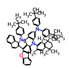 Cc1cc2c(cc1N1c3cc(N(c4ccc(C(C)(C)C)cc4)c4ccc(C(C)(C)C)cc4)ccc3B3c4c1cc1c(oc5ccccc51)c4-c1ccc4ccccc4c1N3c1ccc(C(C)(C)C)cc1)C(C)(C)CCC2(C)C